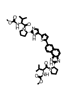 COC(=O)N[C@H](C(=O)N1CCC[C@H]1c1ncc(-c2ccc(-c3ccc4c(ccc5nc([C@@H]6CCCN6C(=O)[C@@H](NC(=O)OC)C(C)C)[nH]c54)c3)s2)[nH]1)C(C)C